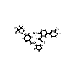 Cn1ccc(-c2cnc(N)c(C(=O)N[C@H]3CCC[C@@H]3OCc3ccc(B4OC(C)(C)C(C)(C)O4)cc3)c2)cc1=O